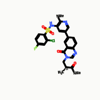 CNC(=O)[C@H](C)Cn1cnc2ccc(-c3cnc(NC)c(NS(=O)(=O)c4ccc(F)cc4Cl)c3)cc2c1=O